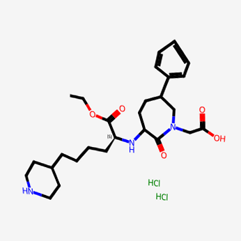 CCOC(=O)[C@H](CCCCC1CCNCC1)NC1CCC(c2ccccc2)CN(CC(=O)O)C1=O.Cl.Cl